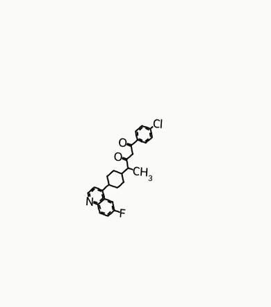 CC(C(=O)CC(=O)c1ccc(Cl)cc1)C1CCC(c2ccnc3ccc(F)cc23)CC1